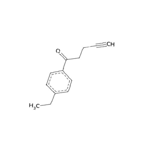 C#CCCC(=O)c1ccc(CC)cc1